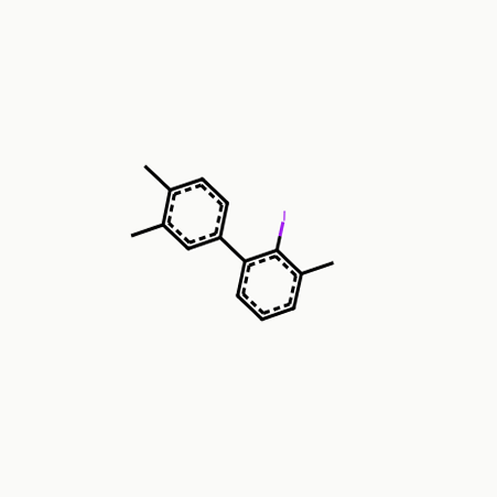 Cc1ccc(-c2cccc(C)c2I)cc1C